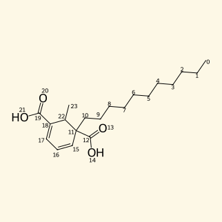 CCCCCCCCCCCC1(C(=O)O)C=CC=C(C(=O)O)C1C